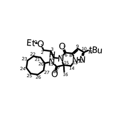 CCOCCCN1C(=O)c2cc(C(C)(C)C)nn2CC1(C)C(=O)NC1CCCCCCC1